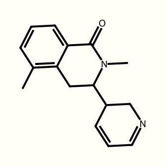 Cc1cccc2c1CC(C1C=CC=NC1)N(C)C2=O